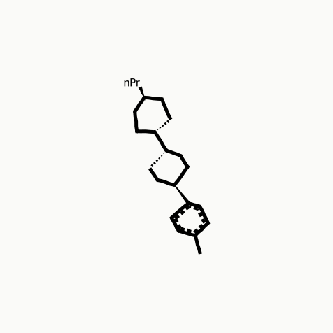 CCC[C@H]1CC[C@H]([C@H]2CC[C@H](c3ccc(C)cc3)CC2)CC1